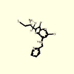 [2H]C([2H])(c1oc2c(NCc3cccs3)cc(Cl)nc2c1Br)[C@@H](N)CF